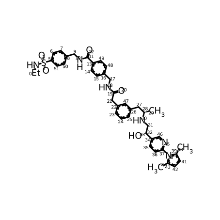 CCNS(=O)(=O)c1ccc(CNC(=O)c2ccc(CNC(=O)Cc3cccc(C[C@@H](C)NC[C@@H](O)c4ccc(-n5c(C)ccc5C)nc4)c3)cc2)cc1